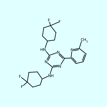 Cc1cccc(-c2nc(NC3CCC(F)(F)CC3)nc(NC3CCC(F)(F)CC3)n2)n1